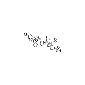 C[C@@H](c1nc2ccc(C(=O)O)cc2n1C[C@@H]1CCO1)N1CC=C(c2cccc3c2O[C@@](C)(c2ccc(Cl)cn2)O3)CC1